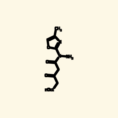 CCCCCCCCCC(=O)CC(=O)N(N)c1nc(C)co1